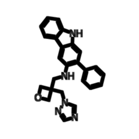 c1ccc(-c2cc3[nH]c4ccccc4c3cc2NCC2(Cn3cncn3)COC2)cc1